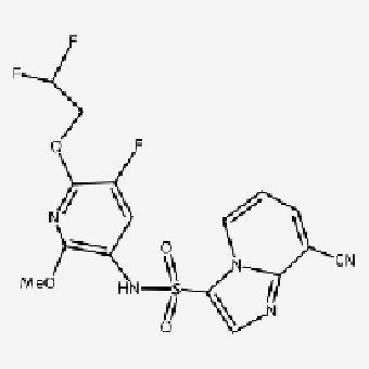 COc1nc(OCC(F)F)c(F)cc1NS(=O)(=O)c1cnc2c(C#N)cccn12